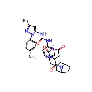 Cc1ccc(-n2nc(C(C)(C)C)cc2NC(=O)Nc2ccc(CC3CC4CCC(C3)N4C(=O)C3CC(=O)NC(=O)N3)cc2)cc1